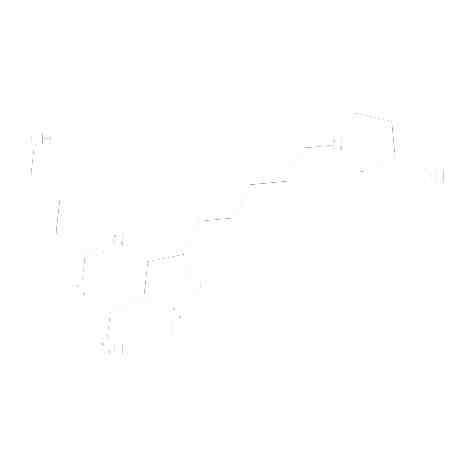 CCCCC1=NC2C(CCCCCN3CC[C@H](O)C3)=CNC2C(N)=N1